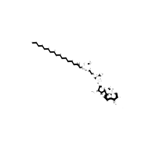 CCCCCCCCCCCCCCCCCCOC[C@H](COP(=O)(O)OC[C@H]1O[C@@](C#N)(c2ccc3c(N)ccnn23)[C@H](O)[C@@H]1O)OC(C)C